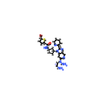 N/C=C\N(N)c1cc2c(cn1)nc(-c1ccccn1)n2C1CCC(NC(=O)c2ccc(Br)s2)C1